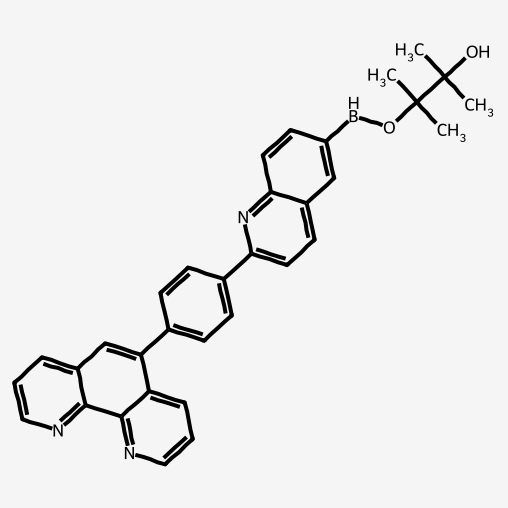 CC(C)(O)C(C)(C)OBc1ccc2nc(-c3ccc(-c4cc5cccnc5c5ncccc45)cc3)ccc2c1